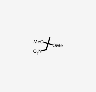 COC(C)(C[N+](=O)[O-])OC